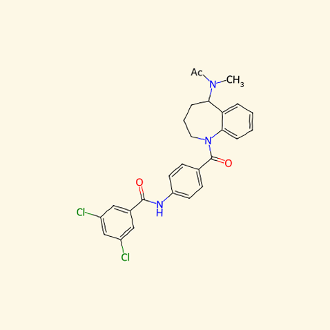 CC(=O)N(C)C1CCCN(C(=O)c2ccc(NC(=O)c3cc(Cl)cc(Cl)c3)cc2)c2ccccc21